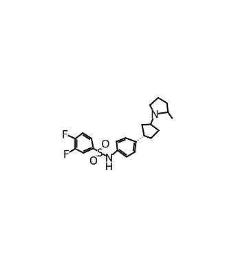 CC1CCCN1C1CC[C@H](c2ccc(NS(=O)(=O)c3ccc(F)c(F)c3)cc2)C1